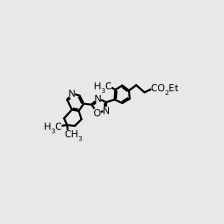 CCOC(=O)CCc1ccc(-c2noc(-c3cncc4c3CCC(C)(C)C4)n2)c(C)c1